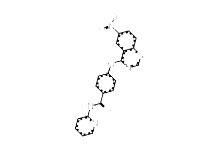 O=C(Nc1ccccn1)c1ccc(Oc2ncnc3ccc([N+](=O)[O-])cc23)cc1